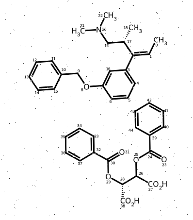 CC=C(c1cccc(OCc2ccccc2)c1)[C@@H](C)CN(C)C.O=C(OC(C(=O)O)[C@@H](OC(=O)c1ccccc1)C(=O)O)c1ccccc1